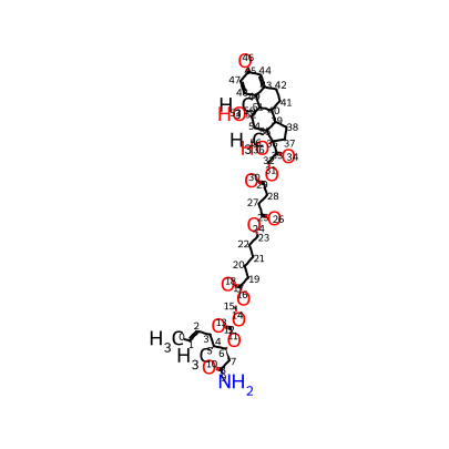 C/C=C/C[C@@H](C)[C@H](CC(N)=O)OC(=O)OCOC(=O)CCCCCOC(=O)CCC(=O)OCC(=O)[C@@]1(O)CCC2C3CCC4=CC(=O)C=C[C@]4(C)C3[C@@H](O)C[C@@]21C